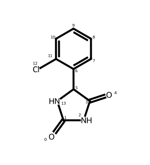 O=C1NC(=O)C(c2ccccc2Cl)N1